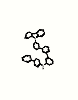 c1ccc(-c2ccc(Nc3cccc(-c4cccc(-c5cccc(-n6c7ccccc7c7ccccc76)c5)c4)c3)cc2)cc1